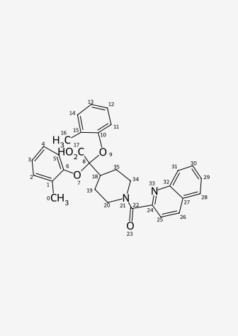 Cc1ccccc1OC(Oc1ccccc1C)(C(=O)O)C1CCN(C(=O)c2ccc3ccccc3n2)CC1